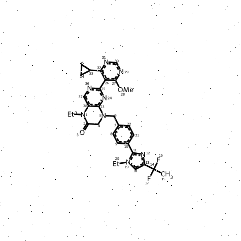 CCN1C(=O)CN(Cc2ccc(-c3nc(C(C)(F)F)cn3CC)cc2)c2nc(-c3c(OC)ncnc3C3CC3)ncc21